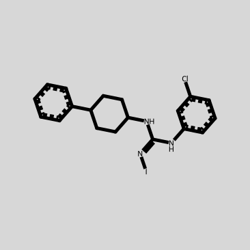 Clc1cccc(N/C(=N\I)NC2CCC(c3ccccc3)CC2)c1